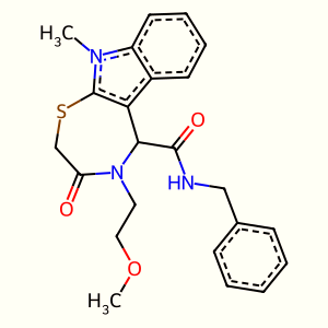 COCCN1C(=O)CSc2c(c3ccccc3n2C)C1C(=O)NCc1ccccc1